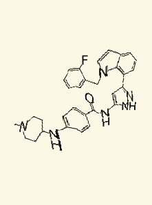 CN1CCC(Nc2ccc(C(=O)Nc3cc(-c4cccc5ccn(Cc6ccccc6F)c45)n[nH]3)cc2)CC1